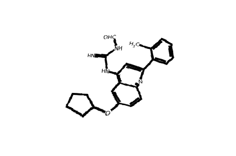 Cc1ccccc1-c1cc(NC(=N)NC=O)c2cc(OC3CCCC3)ccc2n1